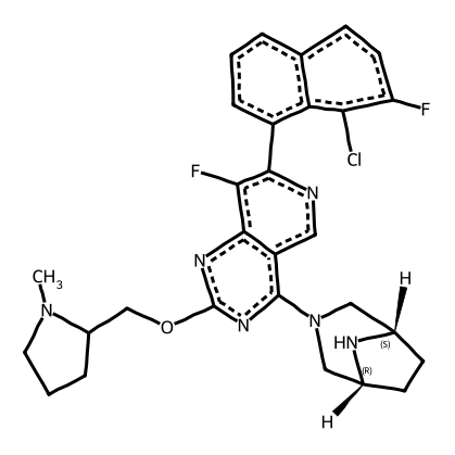 CN1CCCC1COc1nc(N2C[C@H]3CC[C@@H](C2)N3)c2cnc(-c3cccc4ccc(F)c(Cl)c34)c(F)c2n1